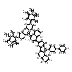 [2H]c1c([2H])c([2H])c(-c2ccc(N(c3ccc(-c4c([2H])c([2H])c([2H])c([2H])c4[2H])cc3)c3ccc(-c4ccc5c(c4)c4ccc6ccccc6c4n5-c4ccc(-c5ccccc5)cc4)c4ccccc34)cc2)c([2H])c1[2H]